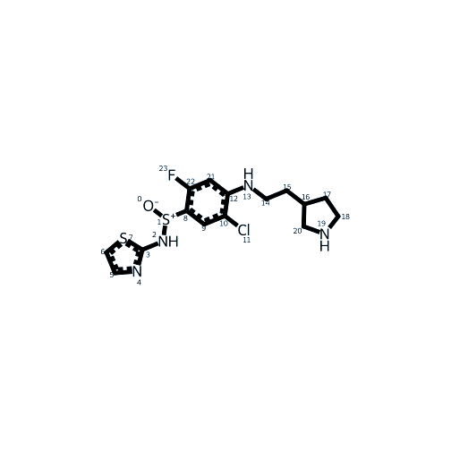 [O-][S+](Nc1nccs1)c1cc(Cl)c(NCCC2CCNC2)cc1F